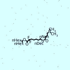 CCCCCCCCCCN(C(=O)CCCN(C)C)C(CCCCCCCCC)CCCCC(F)(F)C(=O)OC(CCCCCC)CCCCCC